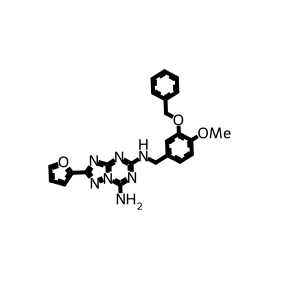 COc1ccc(CNc2nc(N)n3nc(-c4ccco4)nc3n2)cc1OCc1ccccc1